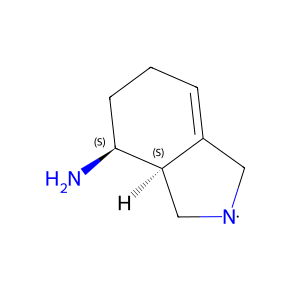 N[C@H]1CCC=C2C[N]C[C@H]21